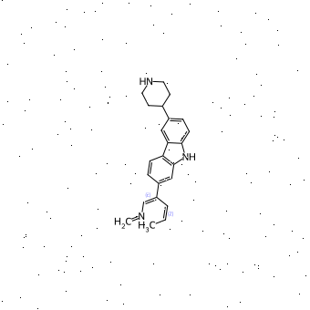 C=N/C=C(\C=C/C)c1ccc2c(c1)[nH]c1ccc(C3CCNCC3)cc12